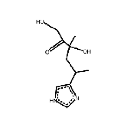 CC(CC(C)(O)C(=O)CO)c1c[nH]cn1